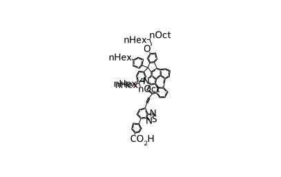 CCCCCCCCC(CCCCCC)COc1ccc2c(c1)C(c1ccc(CCCCCC)cc1)(c1ccc(CCCCCC)cc1)c1c-2c2cccc3c4cccc5c(C#Cc6ccc(-c7ccc(C(=O)O)cc7)c7nsnc67)cc6c(c54)c(c23)c1n6CC(CCCCCC)CCCCCCCC